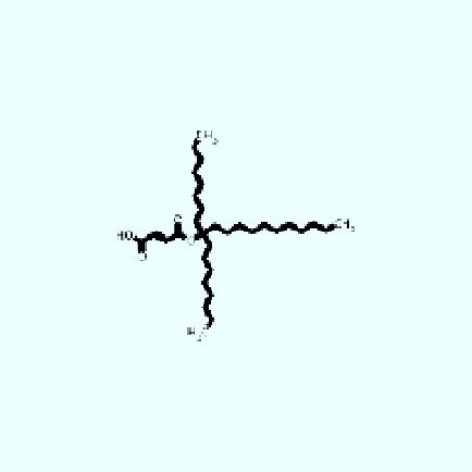 CCCCCCCCCCCC(CCCCCCCC)(CCCCCCCC)OC(=O)C=CC(=O)O